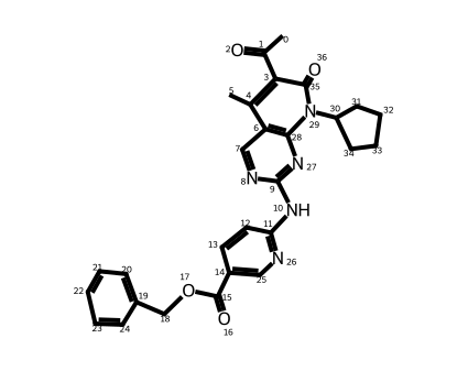 CC(=O)c1c(C)c2cnc(Nc3ccc(C(=O)OCc4ccccc4)cn3)nc2n(C2CCCC2)c1=O